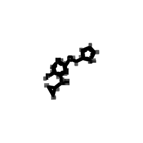 Fc1cnc(OCc2cccs2)nc1NC1CC1